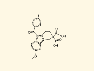 COc1ccc2c(c1)c1c(n2C(=O)c2ccc(C)cc2)CCC(C(=O)O)(C(=O)O)C1